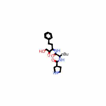 CCCCC(NC(=O)C1CCNCC1)C(=O)NC(CCc1ccccc1)C(=O)CO